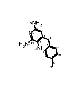 Nc1cc(Cc2ccc(F)cc2)c(N)c(N)n1